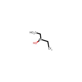 O=C(O)C[As](O)CC(F)(F)F